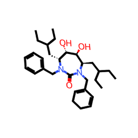 CCC(CC)C[C@@H]1[C@H](O)[C@@H](O)[C@@H](CC(CC)CC)N(Cc2ccccc2)C(=O)N1CC1=CCCC=C1